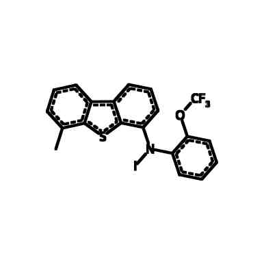 Cc1cccc2c1sc1c(N(I)c3ccccc3OC(F)(F)F)cccc12